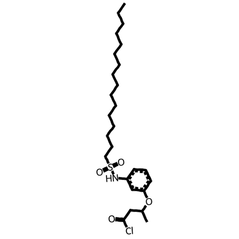 CCCCCCCCCCCCCCCCS(=O)(=O)Nc1cccc(OC(C)CC(=O)Cl)c1